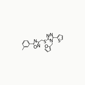 Cc1cccc(-c2nc(CSc3nnc(-c4cccs4)n3Cc3ccco3)no2)c1